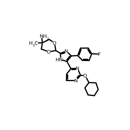 CC1(N)COC(c2nc(-c3ccc(F)cc3)c(-c3ccnc(OC4CCCCC4)n3)[nH]2)OC1